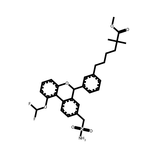 COC(=O)C(C)(C)CCCCc1cccc(C2Oc3cccc(OC(F)F)c3-c3ccc(CS(N)(=O)=O)cc32)c1